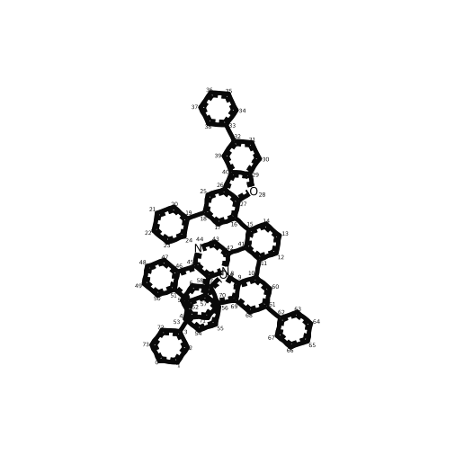 c1ccc(-c2ccc3oc4c(-c5cccc(-c6cc(-c7ccccc7)cc7c6oc6ccc(-c8ccccc8)cc67)c5-c5cnc6c7ccccc7c7ccccc7c6n5)cc(-c5ccccc5)cc4c3c2)cc1